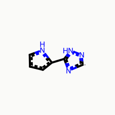 [c]1n[nH]c(-c2ccc[nH]2)n1